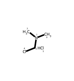 CN(C)CCl.Cl